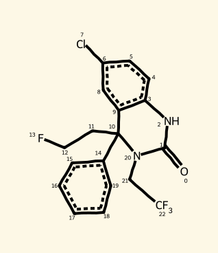 O=C1Nc2ccc(Cl)cc2C(CCF)(c2ccccc2)N1CC(F)(F)F